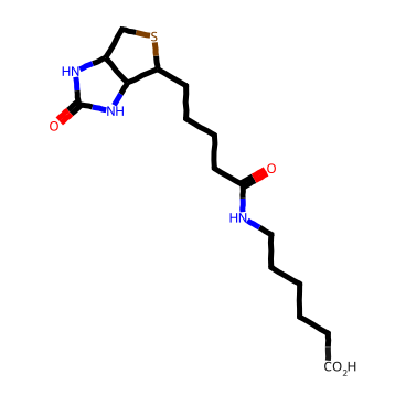 O=C(O)CCCCCNC(=O)CCCCC1SCC2NC(=O)NC21